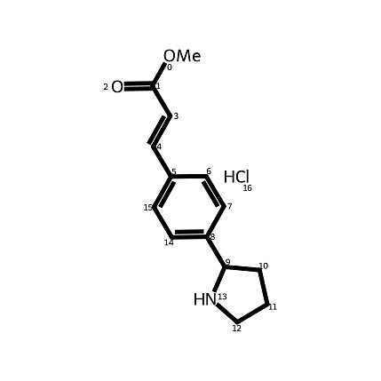 COC(=O)C=Cc1ccc(C2CCCN2)cc1.Cl